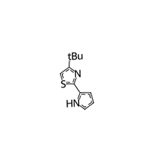 CC(C)(C)c1csc(-c2ccc[nH]2)n1